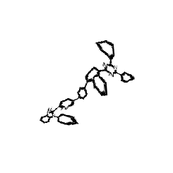 c1ccc(-c2nc(-c3ccccc3)nc(-c3ccc(-c4ccc(-c5ccc(-c6nc7ccccc7n6-c6ccccc6)nc5)cc4)c4ccccc34)n2)cc1